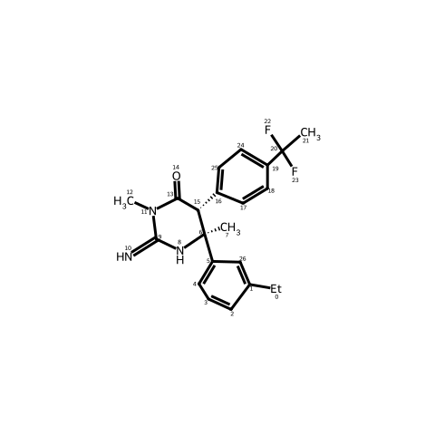 CCc1cccc([C@@]2(C)NC(=N)N(C)C(=O)[C@@H]2c2ccc(C(C)(F)F)cc2)c1